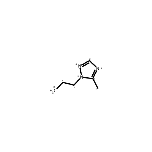 Cc1ncnn1CCC(F)(F)F